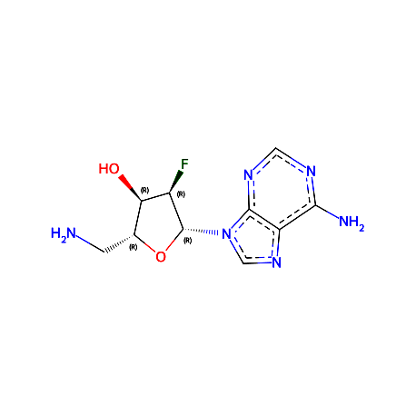 NC[C@H]1O[C@@H](n2cnc3c(N)ncnc32)[C@H](F)[C@@H]1O